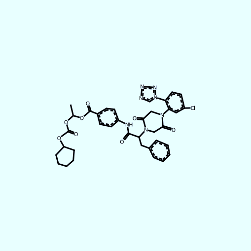 CC(OC(=O)OC1CCCCC1)OC(=O)c1ccc(NC(=O)C(Cc2ccccc2)N2CC(=O)N(c3cc(Cl)ccc3-n3cnnn3)CC2=O)cc1